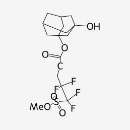 COS(=O)(=O)C(F)(F)C(F)(F)CCC(=O)OC12CC3CC(CC(O)(C3)C1)C2